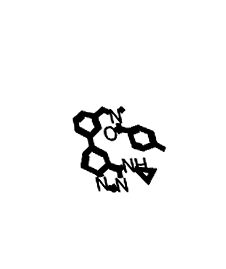 Cc1ccc(C(=O)N(C)Cc2cccc(-c3ccc4ncnc(NC5CC5)c4c3)c2)cc1